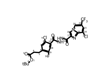 CC(C)(C)OC(=O)CCc1cc(Cl)c(C(=O)NNC(=O)c2cn3cc(C(F)(F)F)cc(Cl)c3n2)cc1F